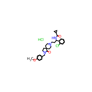 COc1ccc(CN2CCC3(CCN(CCC(NC(=O)C4CC4)c4ccccc4Cl)CC3)C2=O)cc1.Cl